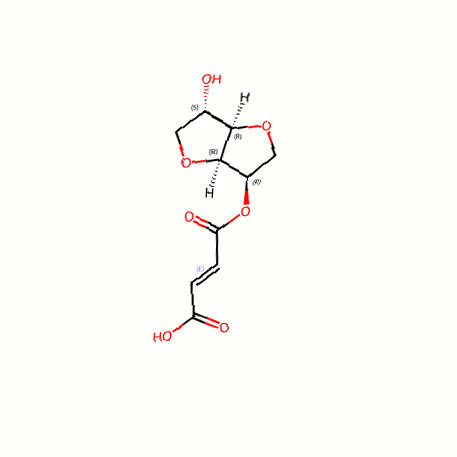 O=C(O)/C=C/C(=O)O[C@@H]1CO[C@H]2[C@@H]1OC[C@@H]2O